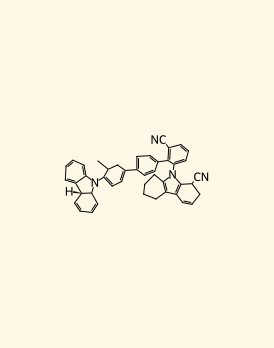 CC1CC(c2ccc(-c3c(C#N)cccc3-n3c4c(c5c3C(C#N)CC=C5)CCCC4)cc2)=CC=C1N1c2ccccc2[C@H]2C=CC=CC21